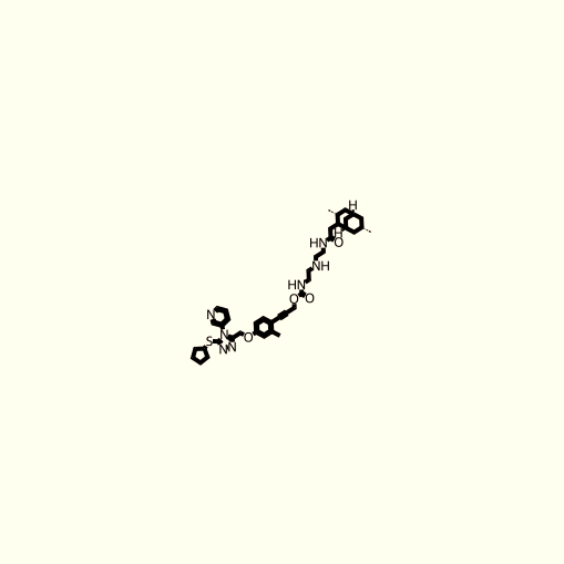 Cc1cc(OCc2nnc(SC3CCCC3)n2-c2cccnc2)ccc1C#CCOC(=O)NCCNCCNC(=O)CC1[C@H]2C[C@@H](C)C[C@H](C2)C[C@H]1C